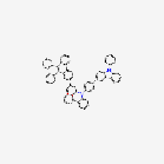 c1ccc(-c2ccccc2N(c2ccc(-c3ccc4c(c3)c3ccccc3n4-c3ccccc3)cc2)c2cccc(-c3ccc4c(c3)c(-c3ccccc3)c(-c3ccccc3)c3ccccc34)c2)cc1